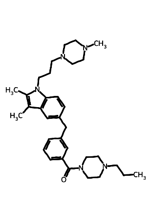 CCCN1CCN(C(=O)c2cccc(Cc3ccc4c(c3)c(C)c(C)n4CCCN3CCN(C)CC3)c2)CC1